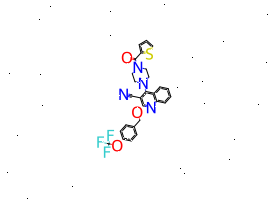 N#Cc1c(OCc2ccc(OC(F)(F)F)cc2)nc2ccccc2c1N1CCN(C(=O)c2cccs2)CC1